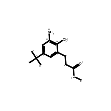 COC(=O)CCc1cc(C(C)(C)C)cc(N)c1O